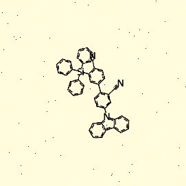 N#Cc1cc(-n2c3ccccc3c3ccccc32)ccc1-c1ccc(C#N)c([Si](c2ccccc2)(c2ccccc2)c2ccccc2)c1